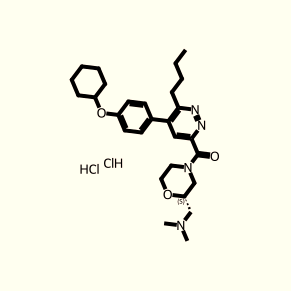 CCCCc1nnc(C(=O)N2CCO[C@@H](CN(C)C)C2)cc1-c1ccc(OC2CCCCC2)cc1.Cl.Cl